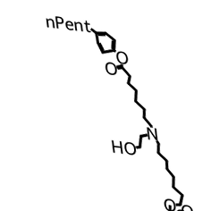 CCCCCCCCOC(=O)CCCCCCCN(CCO)CCCCCCCC(=O)Oc1ccc(CCCCC)cc1